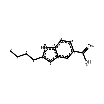 CCCCc1cc2cc(C(=O)O)ccc2[nH]1